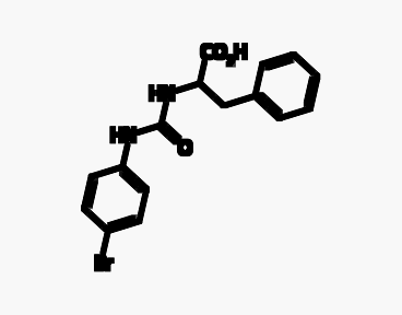 O=C(Nc1ccc(Br)cc1)NC(Cc1ccccc1)C(=O)O